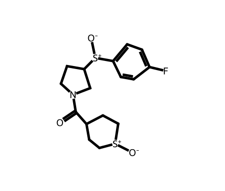 O=C(C1CC[S+]([O-])CC1)N1CCC([S+]([O-])c2ccc(F)cc2)C1